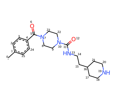 [CH2]c1ccc(C(=O)N2CCN(C(=O)NCCC3CCNCC3)CC2)cc1